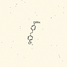 COc1ccc(CCc2ccc(C(F)(F)F)cc2)cc1